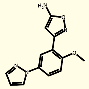 COc1ccc(-n2cccn2)cc1-c1cc(N)on1